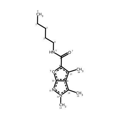 CCCCCNC(=O)c1oc2nn(C)c(C)c2c1C